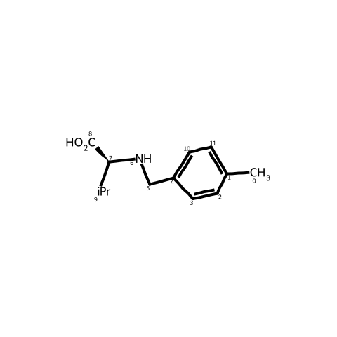 Cc1ccc(CN[C@H](C(=O)O)C(C)C)cc1